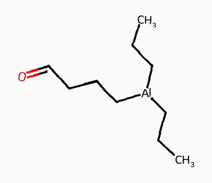 CC[CH2][Al]([CH2]CC)[CH2]CCC=O